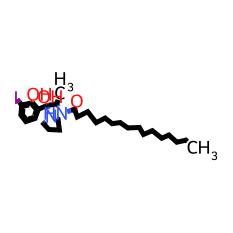 CCCCCCCCCCCCCCCC(=O)NC(C)C(O)(c1cccc(I)c1O)N1CCCC1